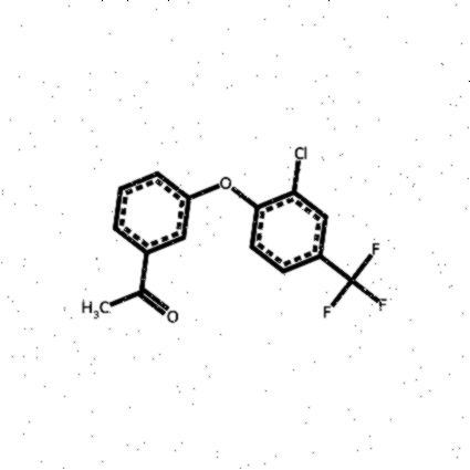 CC(=O)c1cccc(Oc2ccc(C(F)(F)F)cc2Cl)c1